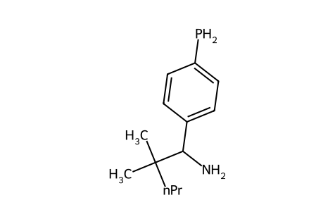 CCCC(C)(C)C(N)c1ccc(P)cc1